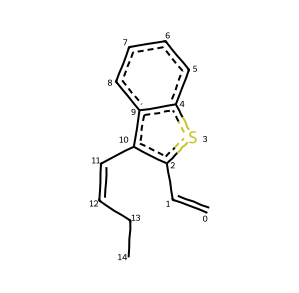 C=Cc1sc2ccccc2c1/C=C\CC